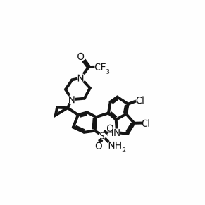 NS(=O)(=O)c1ccc(C2(N3CCN(C(=O)C(F)(F)F)CC3)CC2)cc1-c1ccc(Cl)c2c(Cl)c[nH]c12